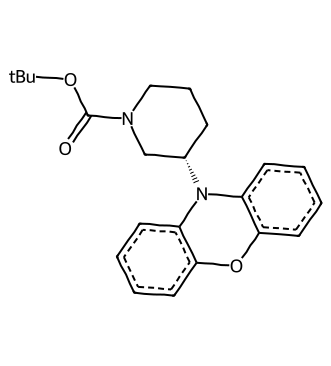 CC(C)(C)OC(=O)N1CCC[C@H](N2c3ccccc3Oc3ccccc32)C1